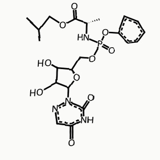 CC(C)COC(=O)[C@H](C)NP(=O)(OCC1OC(n2ncc(=O)[nH]c2=O)C(O)C1O)Oc1ccccc1